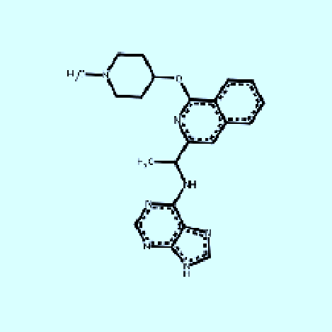 CC(Nc1ncnc2[nH]cnc12)c1cc2ccccc2c(OC2CCN(C)CC2)n1